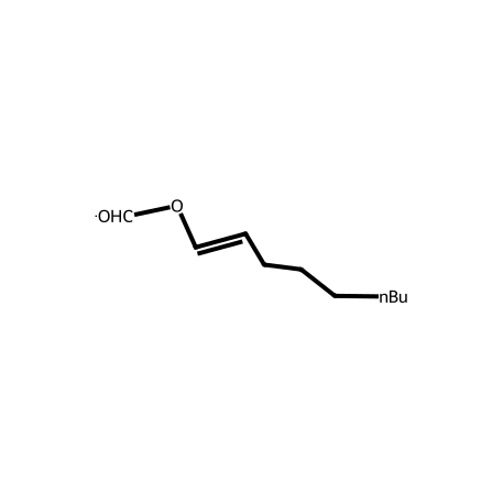 CCCCCCCC=CO[C]=O